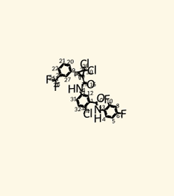 O=C(Nc1ccc(F)cc1F)c1cc(NC(=O)[C@H]2[C@H](c3cccc(C(F)F)c3)C2(Cl)Cl)ccc1Cl